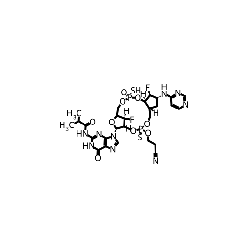 CC(C)C(=O)Nc1nc2c(ncn2[C@@H]2OC3COP(=O)(S)O[C@@H]4[C@@H](COP(=S)(OCCC#N)O[C@@H]2[C@@H]3F)C[C@@H](Nc2ccncn2)[C@@H]4F)c(=O)[nH]1